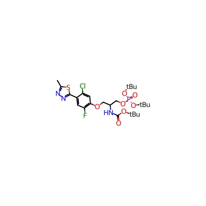 Cc1nnc(-c2cc(F)c(OCC(COP(=O)(OC(C)(C)C)OC(C)(C)C)NC(=O)OC(C)(C)C)cc2Cl)s1